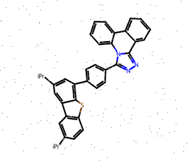 CC(C)c1ccc2sc3c(-c4ccc(-c5nnc6c7ccccc7c7ccccc7n56)cc4)cc(C(C)C)cc3c2c1